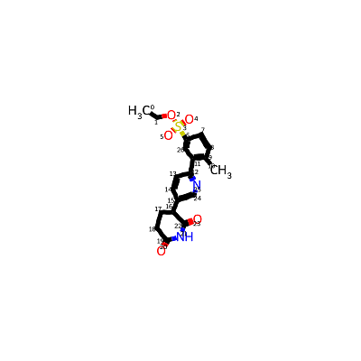 CCOS(=O)(=O)c1ccc(C)c(-c2ccc(C3CCC(=O)NC3=O)cn2)c1